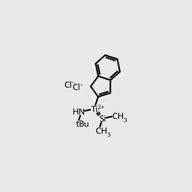 C[Si](C)=[Ti+2]([NH]C(C)(C)C)[C]1=Cc2ccccc2C1.[Cl-].[Cl-]